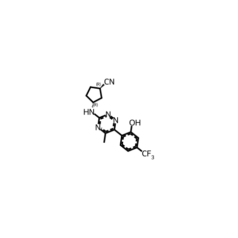 Cc1nc(N[C@@H]2CC[C@@H](C#N)C2)nnc1-c1ccc(C(F)(F)F)cc1O